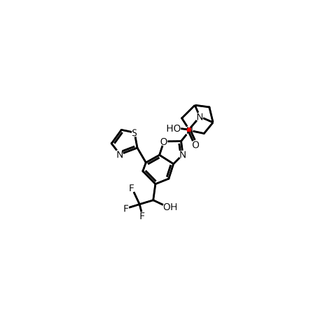 O=C(O)N1C2CC1CN(c1nc3cc(C(O)C(F)(F)F)cc(-c4nccs4)c3o1)C2